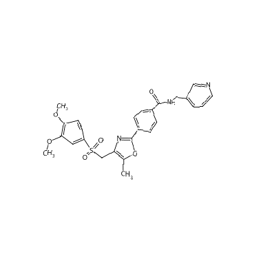 COc1ccc(S(=O)(=O)Cc2nc(-c3ccc(C(=O)NCc4cccnc4)cc3)oc2C)cc1OC